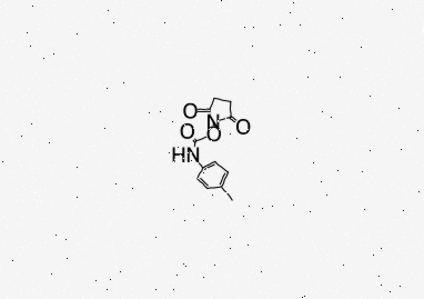 Cc1ccc(NC(=O)ON2C(=O)CCC2=O)cc1